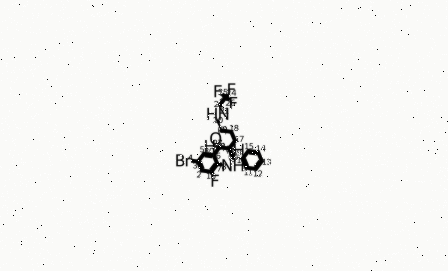 Fc1cc(Br)cc2c1N[C@@H](c1ccccc1)[C@@H]1CC[C@H](CNCC(F)(F)F)O[C@H]21